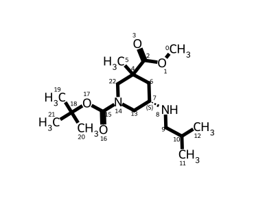 COC(=O)C1(C)C[C@H](NCC(C)C)CN(C(=O)OC(C)(C)C)C1